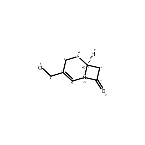 O=C1C[C@@H]2SCC(CCl)=CN12